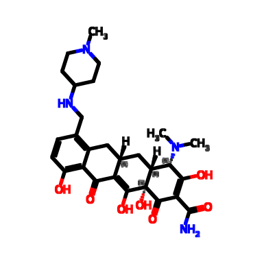 CN1CCC(NCc2ccc(O)c3c2C[C@@H]2C[C@@H]4[C@H](N(C)C)C(O)=C(C(N)=O)C(=O)[C@@]4(O)C(O)=C2C3=O)CC1